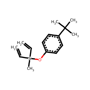 C=C[Si](C)(C=C)Oc1ccc(C(C)(C)C)cc1